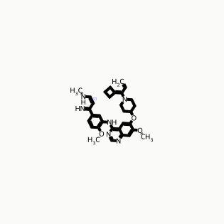 C=CC(=C1CCC1)N1CCC(Oc2cc3c(Nc4cc(C(=N)/C=C\NC)ccc4OC)ncnc3cc2OC)CC1